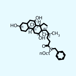 CCCCCCCCN(Cc1ccccc1)C(=O)CC[C@@H](C)[C@H]1CC[C@H]2C3[C@H](O)CC4C[C@H](O)CC[C@]4(C)[C@H]3C[C@H](O)[C@]12C